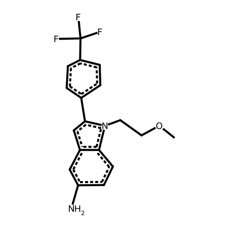 COCCn1c(-c2ccc(C(F)(F)F)cc2)cc2cc(N)ccc21